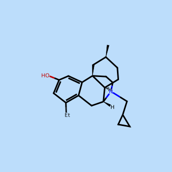 CCc1cc(O)cc2c1C[C@@H]1[C@@H]3CC[C@H](C)C[C@]23CCN1CC1CC1